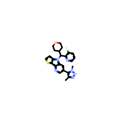 Cc1nnn(C)c1-c1cnc2c3sccc3n(C(c3ncccc3F)C3CCOCC3)c2c1